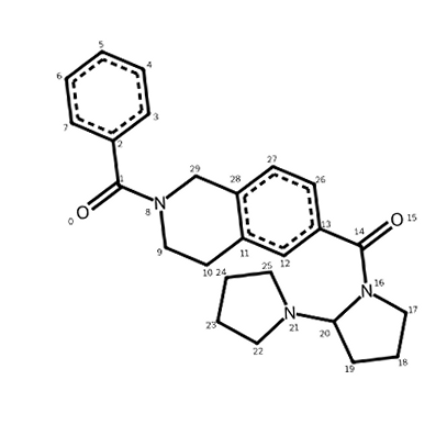 O=C(c1ccccc1)N1CCc2cc(C(=O)N3CCCC3N3CCCC3)ccc2C1